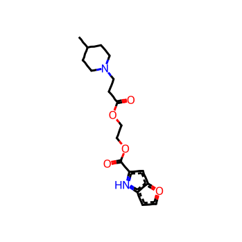 CC1CCN(CCC(=O)OCCOC(=O)c2cc3occc3[nH]2)CC1